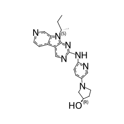 CC[C@H](C)n1c2cnccc2c2cnc(Nc3ccc(N4CC[C@@H](O)C4)cn3)nc21